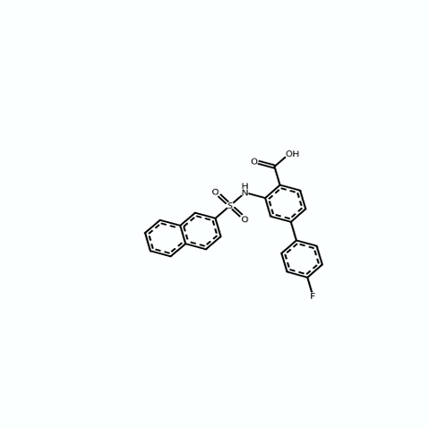 O=C(O)c1ccc(-c2ccc(F)cc2)cc1NS(=O)(=O)c1ccc2ccccc2c1